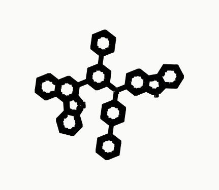 c1ccc(-c2ccc(N(c3cc(-c4ccccc4)cc(-c4cc5ccccc5c5c4sc4ccccc45)c3)c3ccc4c(c3)sc3ccccc34)cc2)cc1